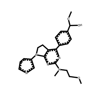 COCCN(C)c1nc(-c2ccc(C(O)OC)cc2)c2c(n1)N(c1cccnc1)CC2